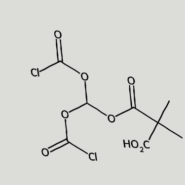 CC(C)(C(=O)O)C(=O)OC(OC(=O)Cl)OC(=O)Cl